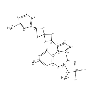 Cc1ccnc(N2CC3(CC(c4nnc5n4-c4ccc(Cl)cc4CN(C(C)C(F)(F)F)C5)C3)C2)n1